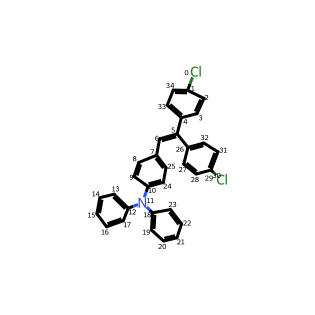 Clc1ccc(C(=Cc2ccc(N(c3ccccc3)c3ccccc3)cc2)c2ccc(Cl)cc2)cc1